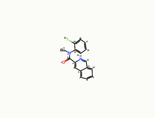 CCC(C)N(C(=O)c1cc2ccccc2cn1)c1ccccc1F